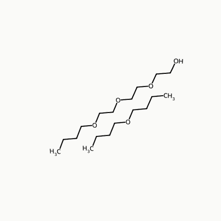 CCCCOCCCC.CCCCOCCOCCOCCO